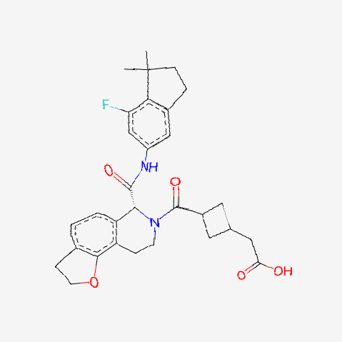 CC1(C)CCc2cc(NC(=O)[C@H]3c4ccc5c(c4CCN3C(=O)C3CC(CC(=O)O)C3)OCC5)cc(F)c21